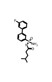 CC(C)CCC(=O)N=S(N)(=O)c1cccc(-c2cccc(F)c2)c1